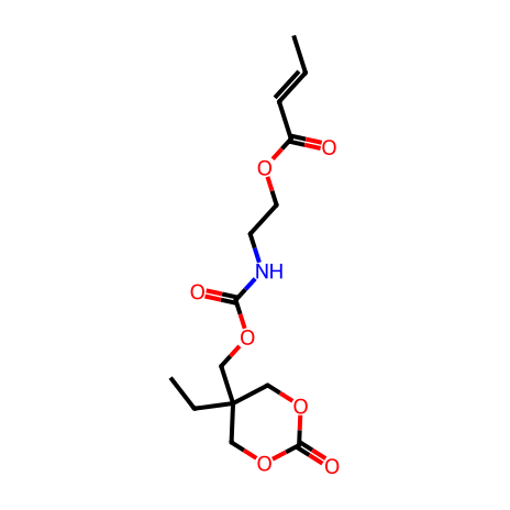 CC=CC(=O)OCCNC(=O)OCC1(CC)COC(=O)OC1